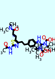 CC(=O)Nc1nc(CCc2ccc(NC(N(C(=O)O)C(C)(C)C)N(C(=O)O)C(C)(C)C)cc2)c(/C=C/C(=O)N(C)C)s1